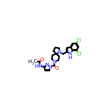 CC(=O)Nc1ccn(C(=O)N2CCC3(CCCN3Cc3cc4cc(Cl)cc(Cl)c4[nH]3)CC2)n1